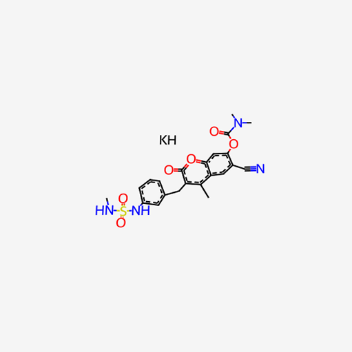 CNS(=O)(=O)Nc1cccc(Cc2c(C)c3cc(C#N)c(OC(=O)N(C)C)cc3oc2=O)c1.[KH]